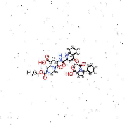 CCOC(=O)N1CCN(C(=O)[C@H](CCC(=O)O)NC(=O)c2cc(OCC(=O)N3[C@@H](c4ccccc4)CC[C@H]3C(=O)O)c3ccccc3n2)CC1